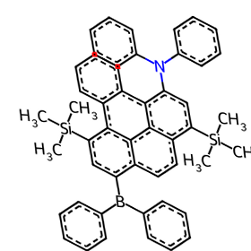 C[Si](C)(C)c1cc(N(c2ccccc2)c2ccccc2)c2c3ccccc3c3c([Si](C)(C)C)cc(B(c4ccccc4)c4ccccc4)c4ccc1c2c43